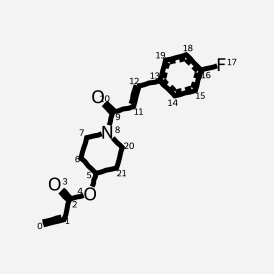 C=CC(=O)OC1CCN(C(=O)/C=C/c2ccc(F)cc2)CC1